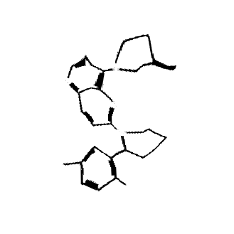 O=C1CCN(c2ccnc3ccc(N4CCCC4c4cc(F)ccc4F)nc23)C1